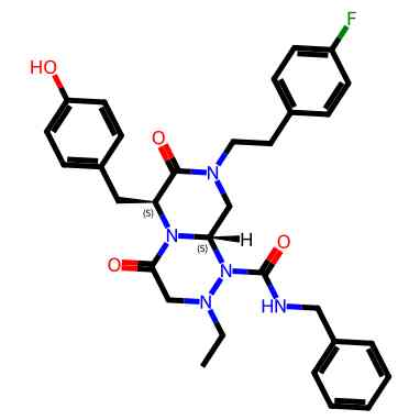 CCN1CC(=O)N2[C@@H](Cc3ccc(O)cc3)C(=O)N(CCc3ccc(F)cc3)C[C@@H]2N1C(=O)NCc1ccccc1